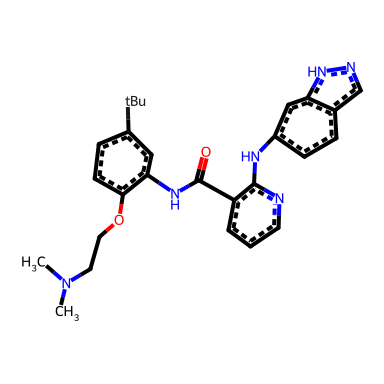 CN(C)CCOc1ccc(C(C)(C)C)cc1NC(=O)c1cccnc1Nc1ccc2cn[nH]c2c1